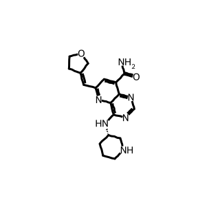 NC(=O)c1cc(/C=C2/CCOC2)nc2c(N[C@H]3CCCNC3)ncnc12